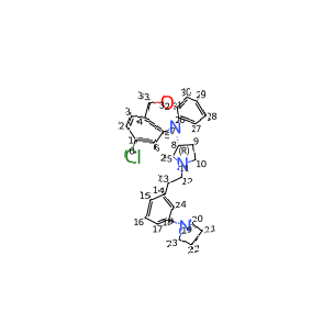 Clc1ccc2c(c1)N([C@@H]1CCN(CCc3cccc(N4CCCC4)c3)C1)c1ccccc1OC2